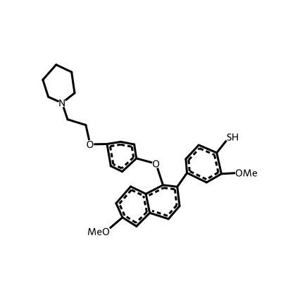 COc1ccc2c(Oc3ccc(OCCN4CCCCC4)cc3)c(-c3ccc(S)c(OC)c3)ccc2c1